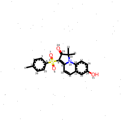 Cc1ccc(S(=O)(=O)C2=C3C=Cc4cc(O)ccc4N3C(C)(C)C2=O)cc1